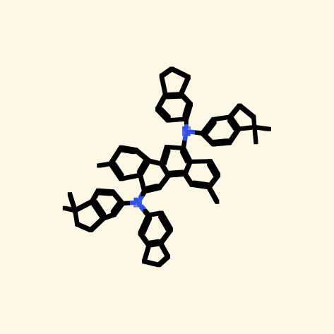 Cc1ccc2c(c1)c(N(c1ccc3c(c1)CCC3)c1ccc3c(c1)CCC3(C)C)cc1c3cc(C)ccc3c(N(c3ccc4c(c3)CCC4)c3ccc4c(c3)CCC4(C)C)cc21